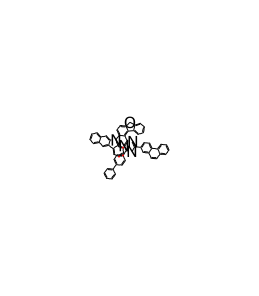 c1ccc(-c2ccc(-c3nc(-c4ccc5c(ccc6ccccc65)c4)nc(-c4c(-n5c6ccccc6c6cc7ccccc7cc65)ccc5oc6ccccc6c45)n3)cc2)cc1